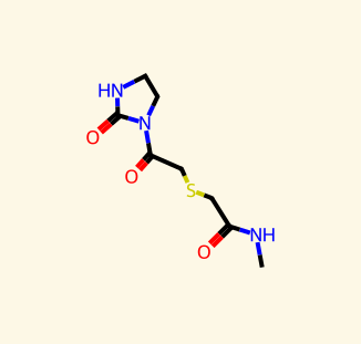 CNC(=O)CSCC(=O)N1CCNC1=O